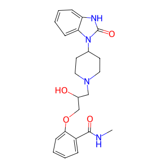 CNC(=O)c1ccccc1OCC(O)CN1CCC(n2c(=O)[nH]c3ccccc32)CC1